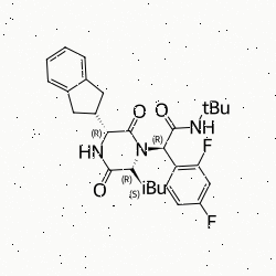 CC[C@H](C)[C@@H]1C(=O)N[C@H](C2Cc3ccccc3C2)C(=O)N1[C@@H](C(=O)NC(C)(C)C)c1ccc(F)cc1F